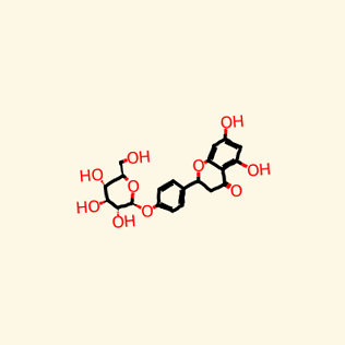 O=C1CC(c2ccc(O[C@@H]3O[C@H](CO)[C@@H](O)[C@H](O)[C@H]3O)cc2)Oc2cc(O)cc(O)c21